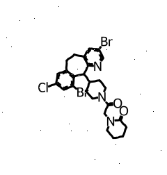 O=C(CN1CCCCC1=O)N1CCC(C2c3ncc(Br)cc3CCc3cc(Cl)cc(Br)c32)CC1